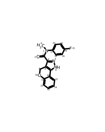 CN(C(=O)c1n[nH]c2c1COc1ccccc1-2)c1ccc(F)cc1